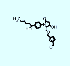 CCCCCC(O)c1ccc(N2C(=O)CC(O)[C@@H]2COCc2ccc(C=O)s2)cc1